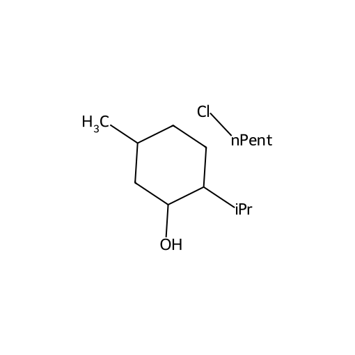 CC1CCC(C(C)C)C(O)C1.CCCCCCl